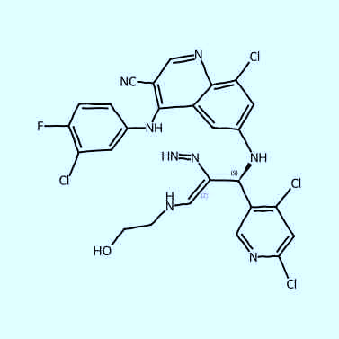 N#Cc1cnc2c(Cl)cc(N[C@H](/C(=C/NCCO)N=N)c3cnc(Cl)cc3Cl)cc2c1Nc1ccc(F)c(Cl)c1